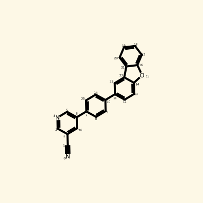 N#Cc1cncc(-c2ccc(-c3ccc4oc5ccccc5c4c3)cc2)c1